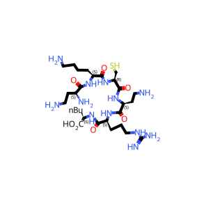 CCCC[C@H](NC(=O)[C@H](CCCNC(=N)N)NC(=O)[C@H](CCN)NC(=O)[C@H](CS)NC(=O)[C@H](CCCCN)NC(=O)[C@@H](N)CCN)C(=O)O